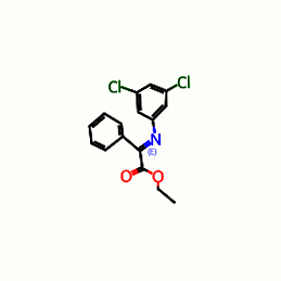 CCOC(=O)/C(=N/c1cc(Cl)cc(Cl)c1)c1ccccc1